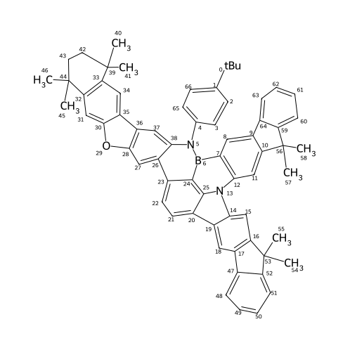 CC(C)(C)c1ccc(N2B3c4cc5c(cc4-n4c6cc7c(cc6c6ccc(c3c64)-c3cc4oc6cc8c(cc6c4cc32)C(C)(C)CCC8(C)C)-c2ccccc2C7(C)C)C(C)(C)c2ccccc2-5)cc1